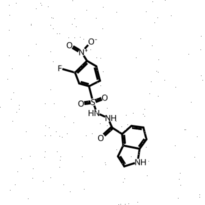 O=C(NNS(=O)(=O)c1ccc([N+](=O)[O-])c(F)c1)c1cccc2[nH]ccc12